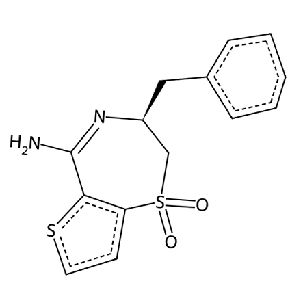 NC1=N[C@@H](Cc2ccccc2)CS(=O)(=O)c2ccsc21